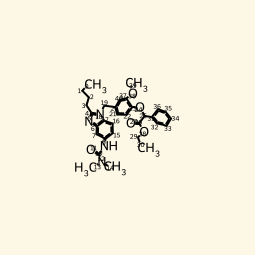 CCCCc1nc2cc(NC(=O)N(C)C)ccc2n1Cc1ccc(OC(C(=O)OCC)c2ccccc2)c(OC)c1